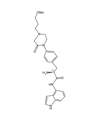 COCCCN1CCN(c2ccc(C[C@H](N)C(=O)Nc3cccc4[nH]ccc34)cc2)C(=O)C1